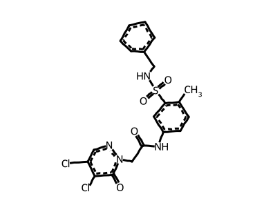 Cc1ccc(NC(=O)Cn2ncc(Cl)c(Cl)c2=O)cc1S(=O)(=O)NCc1ccccc1